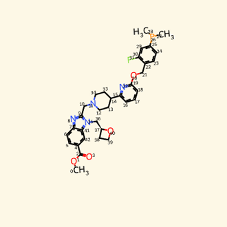 COC(=O)c1ccc2nc(CN3CCC(c4cccc(OCc5ccc(P(C)C)cc5F)n4)CC3)n(C[C@@H]3CCO3)c2c1